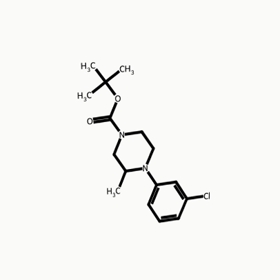 CC1CN(C(=O)OC(C)(C)C)CCN1c1cccc(Cl)c1